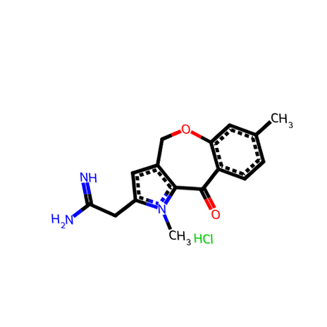 Cc1ccc2c(c1)OCc1cc(CC(=N)N)n(C)c1C2=O.Cl